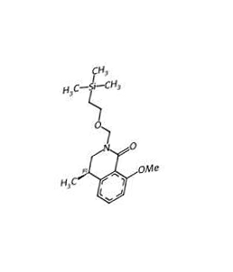 COc1cccc2c1C(=O)N(COCC[Si](C)(C)C)C[C@@H]2C